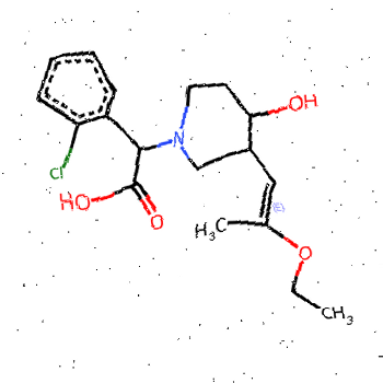 CCO/C(C)=C/C1CN(C(C(=O)O)c2ccccc2Cl)CCC1O